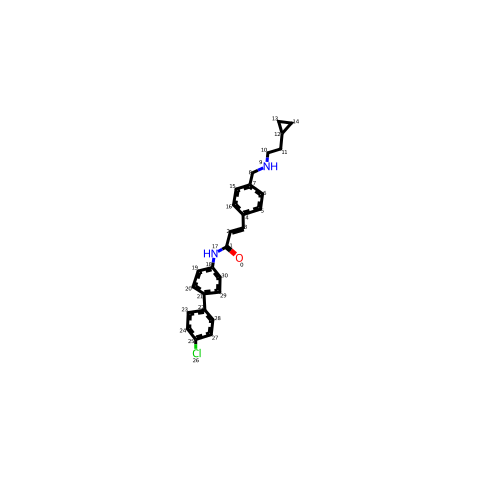 O=C(C=Cc1ccc(CNCCC2CC2)cc1)Nc1ccc(-c2ccc(Cl)cc2)cc1